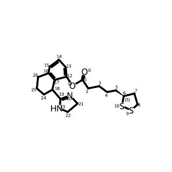 O=C(CCCC[C@H]1CCSS1)Oc1cccc2c1C(C1=NCCN1)CCC2